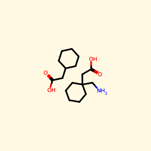 NCC1(CC(=O)O)CCCCC1.O=C(O)CC1CCCCC1